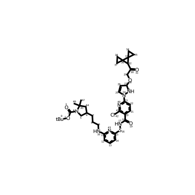 CC(C)(C)OC(=O)N1CC(CCCNc2cccc(SNC(=O)c3ccc(N4C=CC(OCC(=O)C5C6(CC6)C56CC6)N4)nc3Cl)n2)CC1(C)C